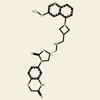 COc1cnc2cccc(N3CC(CNC[C@@H]4CN(c5ccc6c(c5)NC(=O)CS6)C(=O)O4)C3)c2c1